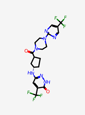 O=C(C1CC[C@H](Nc2cc(C(F)(F)F)c(=O)[nH]n2)C1)N1CCN(c2ncc(C(F)(F)F)cn2)CC1